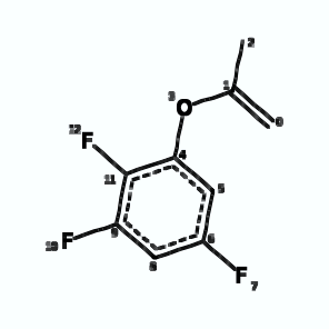 C=C(C)Oc1cc(F)cc(F)c1F